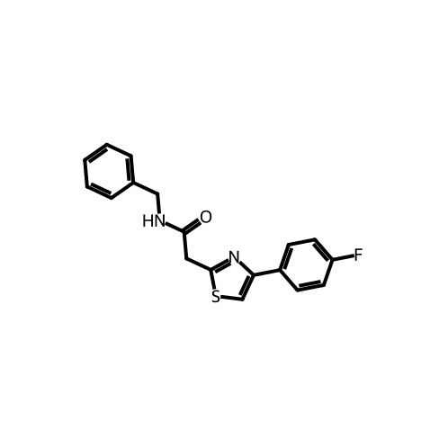 O=C(Cc1nc(-c2ccc(F)cc2)cs1)NCc1ccccc1